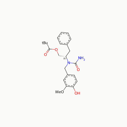 COc1cc(CN(C(N)=O)[C@H](COC(=O)C(C)(C)C)Cc2ccccc2)ccc1O